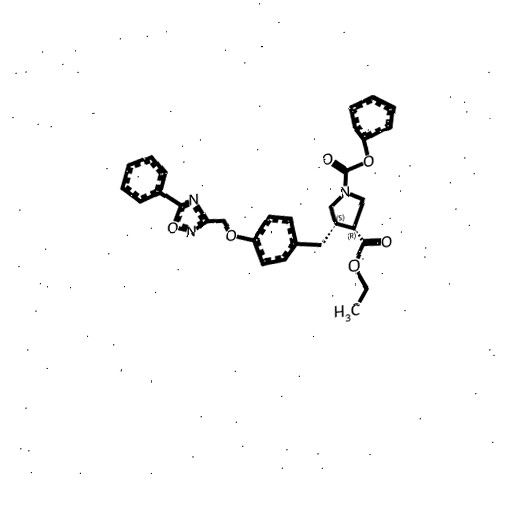 CCOC(=O)[C@H]1CN(C(=O)Oc2ccccc2)C[C@H]1Cc1ccc(OCc2noc(-c3ccccc3)n2)cc1